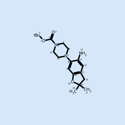 CC(C)(C)OC(=O)N1CCN(c2cc3c(cc2N)CC(C)(C)O3)CC1